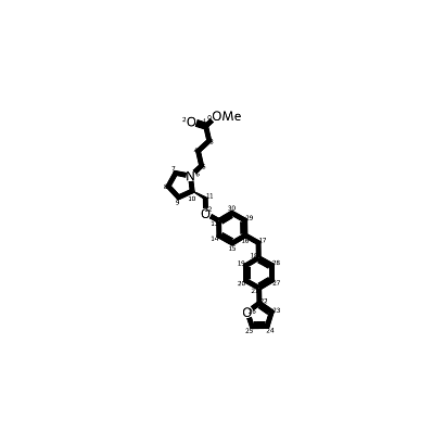 COC(=O)CCCN1CCC[C@@H]1COc1ccc(Cc2ccc(-c3ccco3)cc2)cc1